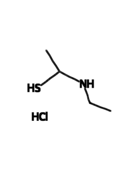 CCNC(C)S.Cl